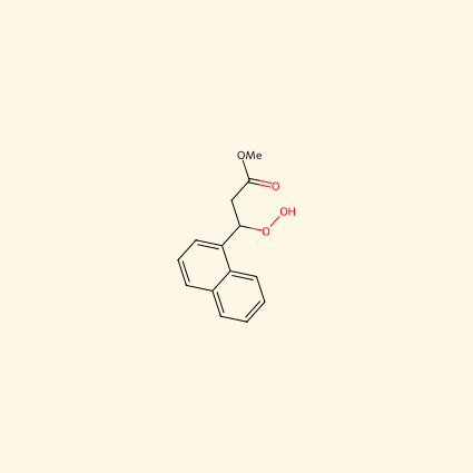 COC(=O)CC(OO)c1cccc2ccccc12